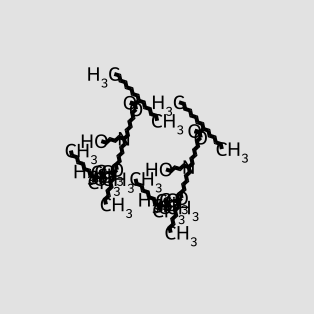 CCCCCCCCC(CCCCCC)C(=O)OCCCCCCN(CCCCO)CCCCCCOC(CCCCCCC)O[Si](C)(C)O[Si](C)(C)CCCCCCCC.CCCCCCCCC(CCCCCC)C(=O)OCCCCCCN(CCCCO)CCCCCCOC(CCCCCCC)O[Si](C)(C)O[Si](C)(C)CCCCCCCC